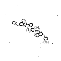 Cc1c(Nc2nccc3cc(CN4CC[C@@H](O)C4)cnc23)cccc1-c1cccc(-c2nc3cc(CN4CC5CCC4C5)cc(C#N)c3o2)c1C